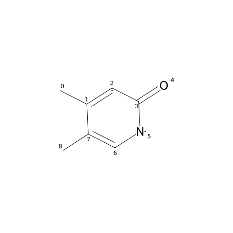 CC1=[C]C(=O)[N]C=C1C